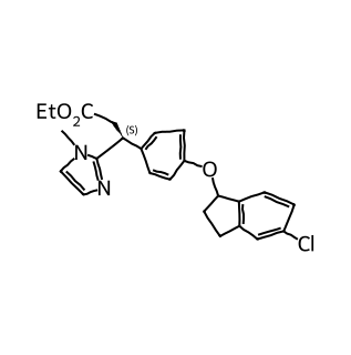 CCOC(=O)C[C@@H](c1ccc(OC2CCc3cc(Cl)ccc32)cc1)c1nccn1C